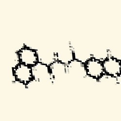 O=C(NNC(=O)c1cccc2ccccc12)c1ccc2nccnc2c1